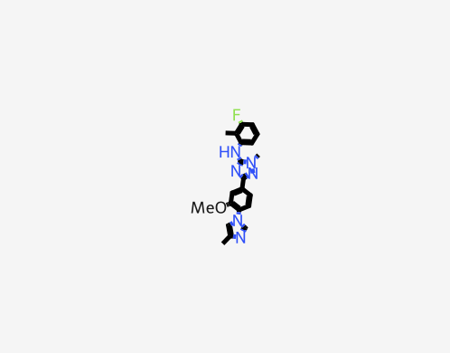 COc1cc(-c2nc(Nc3cccc(F)c3C)n(C)n2)ccc1-n1cnc(C)c1